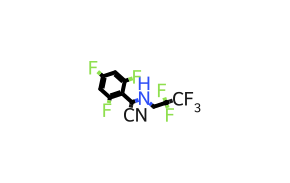 N#CC(NCC(F)(F)C(F)(F)F)c1c(F)cc(F)cc1F